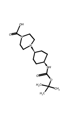 CC(C)(C)OC(=O)N[C@H]1CC[C@@H](N2CCN(C(=O)O)CC2)CC1